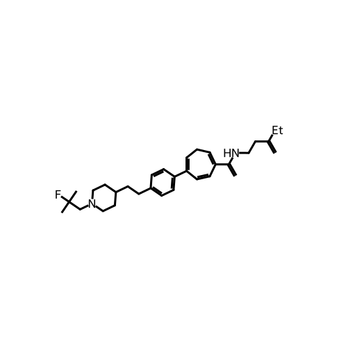 C=C(CC)CCNC(=C)C1=CCC=C(c2ccc(CCC3CCN(CC(C)(C)F)CC3)cc2)C=C1